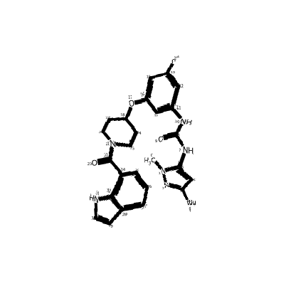 Cn1nc(C(C)(C)C)cc1NC(=O)Nc1cc(F)cc(OC2CCN(C(=O)c3cccc4cc[nH]c34)CC2)c1